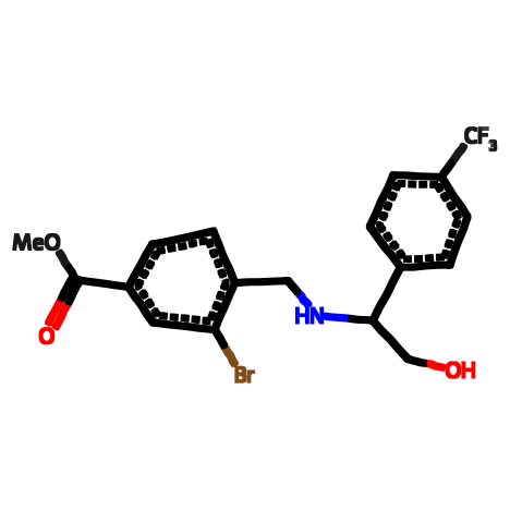 COC(=O)c1ccc(CNC(CO)c2ccc(C(F)(F)F)cc2)c(Br)c1